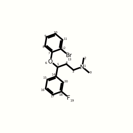 CN(C)CCC(Oc1ccccc1Br)c1cccc(F)c1